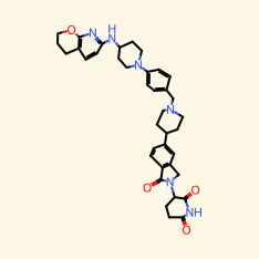 O=C1CCC(N2Cc3cc(C4CCN(Cc5ccc(N6CCC(Nc7ccc8c(n7)OCCC8)CC6)cc5)CC4)ccc3C2=O)C(=O)N1